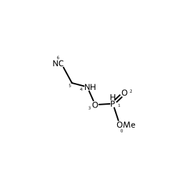 CO[PH](=O)ONCC#N